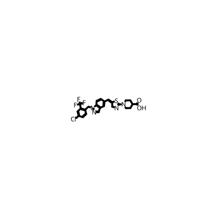 O=C(O)C1CCN(C2=NCC(=Cc3ccc4c(cnn4Cc4ccc(Cl)cc4C(F)(F)F)c3)S2)CC1